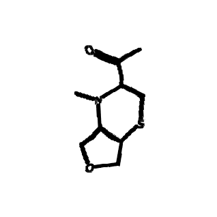 CC(=O)C1CSC2COCC2N1C